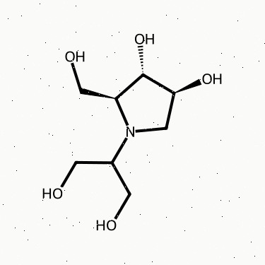 OCC(CO)N1C[C@H](O)[C@@H](O)[C@@H]1CO